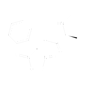 CN[C@@H](C)C(=O)OC(c1ccccc1)([N+](=O)[O-])[N+](=O)[O-]